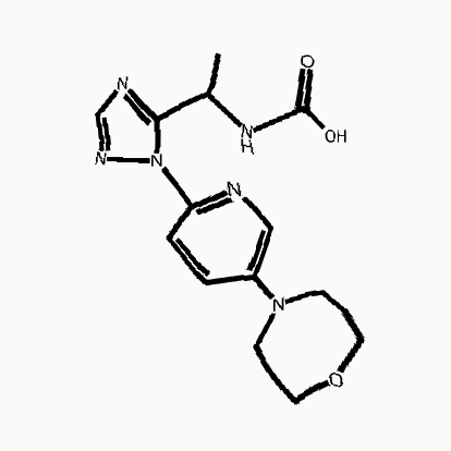 CC(NC(=O)O)c1ncnn1-c1ccc(N2CCOCC2)cn1